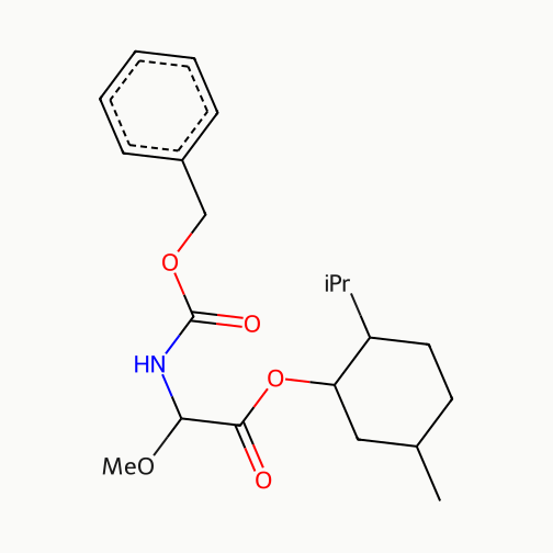 COC(NC(=O)OCc1ccccc1)C(=O)OC1CC(C)CCC1C(C)C